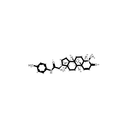 Cc1ccc(NC(=O)C[C@H]2CC[C@H]3[C@@H]4CC[C@H]5N(C)C(=O)C=C[C@]5(C)[C@H]4CC[C@]23C)cc1